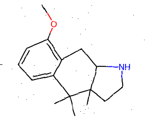 COc1cccc2c1CC1NCCC1(C)C2(C)C